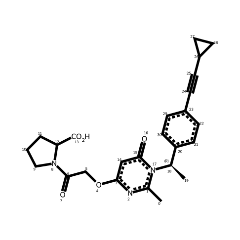 Cc1nc(OCC(=O)N2CCCC2C(=O)O)cc(=O)n1[C@H](C)c1ccc(C#CC2CC2)cc1